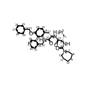 CC(C)C[C@H](NC(=O)N1CCCCCC1)C(=O)N[C@@H](Cc1ccc(OCc2ccccc2)cc1)C(=O)NCc1ccncc1